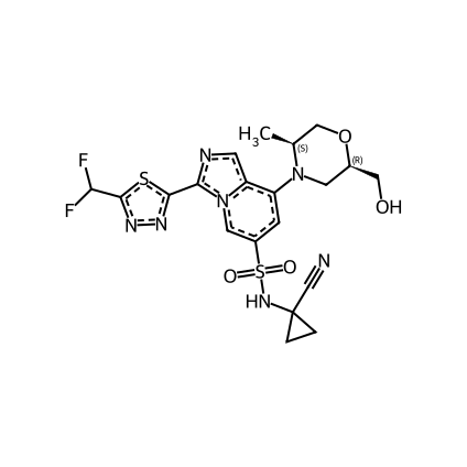 C[C@H]1CO[C@@H](CO)CN1c1cc(S(=O)(=O)NC2(C#N)CC2)cn2c(-c3nnc(C(F)F)s3)ncc12